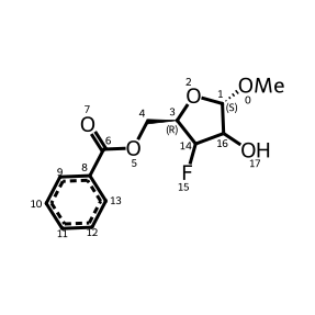 CO[C@H]1O[C@H](COC(=O)c2ccccc2)C(F)C1O